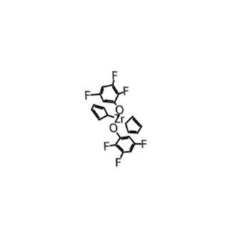 Fc1cc(F)c(F)c([O][Zr]([O]c2cc(F)cc(F)c2F)([CH]2C=CC=C2)[CH]2C=CC=C2)c1